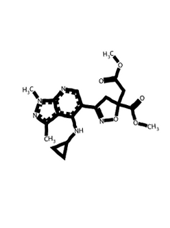 COC(=O)CC1(C(=O)OC)CC(c2cnc3c(c(C)nn3C)c2NC2CC2)=NO1